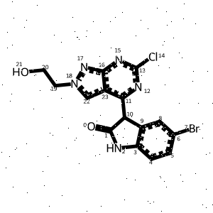 O=C1Nc2ccc(Br)cc2C1c1nc(Cl)nc2nn(CCO)cc12